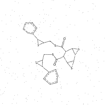 O=C(SCC1SC1c1ccccc1)C1C2SC2C2SC2C1C(=O)SCC1SC1c1ccccc1